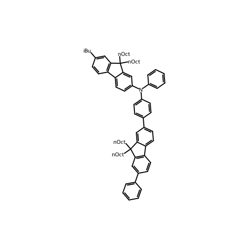 CCCCCCCCC1(CCCCCCCC)c2cc(-c3ccccc3)ccc2-c2ccc(-c3ccc(N(c4ccccc4)c4ccc5c(c4)C(CCCCCCCC)(CCCCCCCC)c4cc(C(C)CC)ccc4-5)cc3)cc21